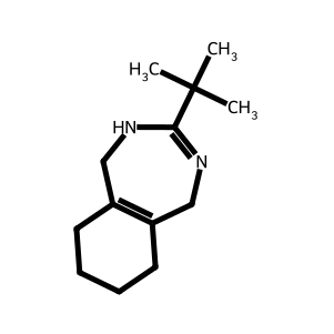 CC(C)(C)C1=NCC2=C(CCCC2)CN1